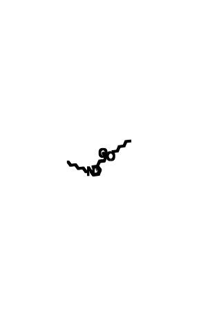 CCCCCCOC(=O)/C=C/c1ccc[n+](CCCCCC)c1